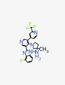 C[C@]1(N)CCN(c2c(-c3ccnc(C(F)(F)F)c3)cncc2-c2nc3c(F)cccc3[nH]2)C1